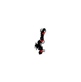 CC(C)(C)OC(=O)N1CCC2(CC1)CC(N1CCC(C(=O)N3CCC[C@@H](n4nc(-c5ccc(Oc6ccccc6)cc5)c5c(N)ncnc54)C3)CC1)C2